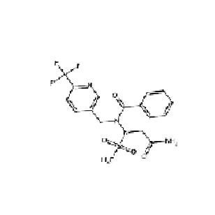 CS(=O)(=O)N(CC(N)=O)N(Cc1ccc(C(F)(F)F)nc1)C(=O)c1ccccc1